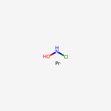 ONCl.[Pr]